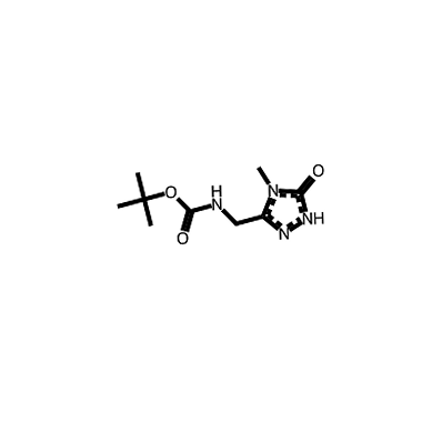 Cn1c(CNC(=O)OC(C)(C)C)n[nH]c1=O